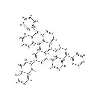 c1ccc(-c2ccc(-c3c4ccccc4c(-c4cccc5c4oc4ccccc45)c4cc(-c5ccc6ccccc6c5)ccc34)c3ccccc23)cc1